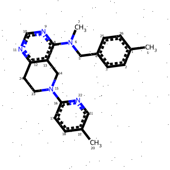 Cc1ccc(CN(C)c2ncnc3c2CN(c2ccc(C)cn2)CC3)cc1